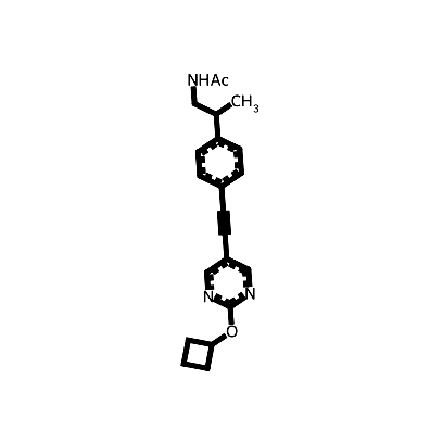 CC(=O)NCC(C)c1ccc(C#Cc2cnc(OC3CCC3)nc2)cc1